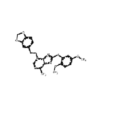 COc1ccc(OC)c(Sc2nc3c(N)ncn(CCc4ccc5c(c4)OCO5)c-3n2)c1